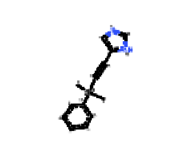 C[Si](C)(C#Cc1cnc[nH]1)c1ccccc1